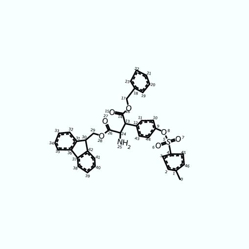 Cc1ccc(S(=O)(=O)Oc2ccc(C(C(=O)OCc3ccccc3)C(N)C(=O)OCC3c4ccccc4-c4ccccc43)cc2)cc1